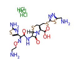 Cl.Cl.Cl.NCCON=C(C(=O)NC1C(=O)N2C(C(=O)O)=C(CSc3nnc(CN)s3)CS[C@@H]12)c1csc(N)n1